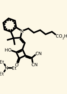 CC1(C)C(=CC2=C(O)C(=O)C2=C(C#N)C#N)N(CCCCCC(=O)O)c2ccccc21.CCN(CC)CC